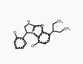 CCC(CC)c1ccc(Cl)c2c1nc1n2C(c2ccccc2Cl)CN1